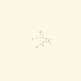 CCOC(=O)OC(=O)[C@H]1[C@H](CO[Si](C)(C)C(C)(C)C)[C@@H](C(=O)OC(C)(C)C)N(C(=O)c2ccc(C(C)(C)C)c(OC)c2)[C@H]1c1nccs1